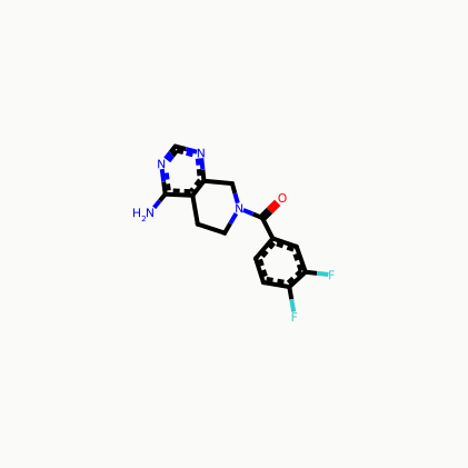 Nc1ncnc2c1CCN(C(=O)c1ccc(F)c(F)c1)C2